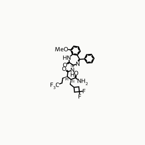 COc1cccc2c1NC(=O)[C@@H](NC(=O)[C@H](CCC(F)(F)F)[C@H](CC1CC(F)(F)C1)C(N)=O)N=C2c1ccccc1